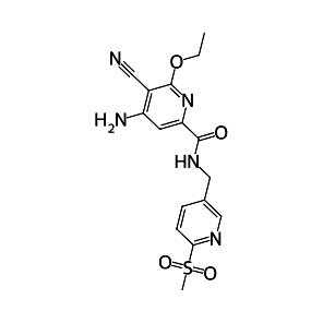 CCOc1nc(C(=O)NCc2ccc(S(C)(=O)=O)nc2)cc(N)c1C#N